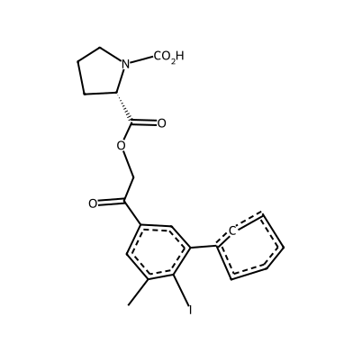 Cc1cc(C(=O)COC(=O)[C@@H]2CCCN2C(=O)O)cc(-c2ccccc2)c1I